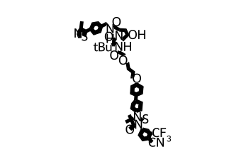 Cc1ncsc1-c1ccc(CNC(=O)C2C[C@@H](O)CN2C(=O)C(NC(=O)COCCCCOc2ccc(-c3ccc(N4C(=S)N(c5ccc(C#N)c(C(F)(F)F)c5)C(=O)C4(C)C)cc3)cc2)C(C)(C)C)cc1